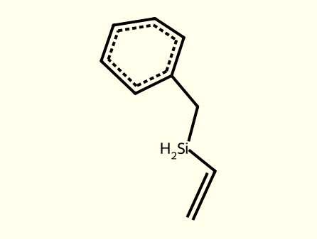 C=C[SiH2]Cc1ccccc1